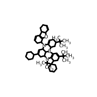 CC(C)(C)C1=CC2=C3C(C1)C1(CCCCC1)C(C)(C)N3C1CC(C3CCCCC3)=CC3C1B2C1CC(C(C)(C)C)CC=C1N3C1CC=CC2=C1OC1C=CCCC21